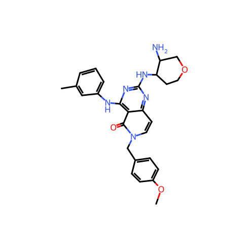 COc1ccc(Cn2ccc3nc(NC4CCOCC4N)nc(Nc4cccc(C)c4)c3c2=O)cc1